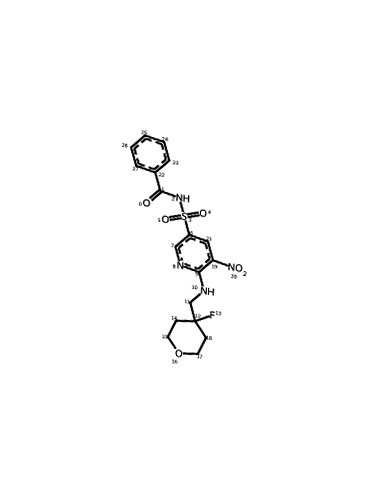 O=C(NS(=O)(=O)c1cnc(NCC2(F)CCOCC2)c([N+](=O)[O-])c1)c1ccccc1